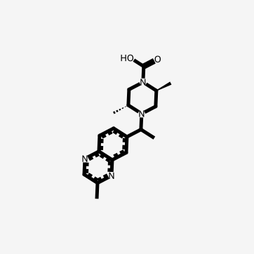 Cc1cnc2ccc(C(C)N3C[C@H](C)N(C(=O)O)C[C@H]3C)cc2n1